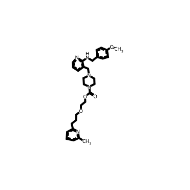 COc1ccc(CNc2ncccc2CN2CCN(C(=O)OCCOCCCc3cccc(C)n3)CC2)cc1